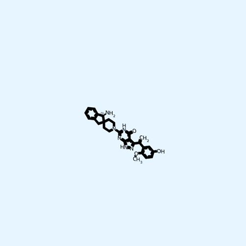 C=C(c1cc(O)ccc1OC)c1n[nH]c2nc(N3CCC4(CC3)Cc3ccccc3[C@H]4N)[nH]c(=O)c12